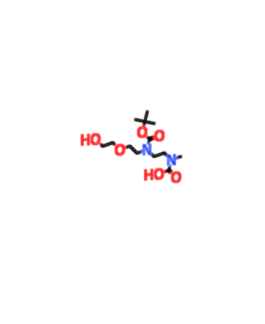 CN(CCN(CCOCCO)C(=O)OC(C)(C)C)C(=O)O